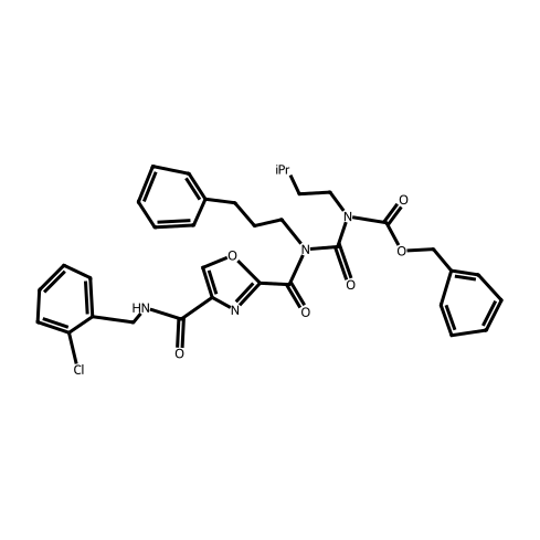 CC(C)CCN(C(=O)OCc1ccccc1)C(=O)N(CCCc1ccccc1)C(=O)c1nc(C(=O)NCc2ccccc2Cl)co1